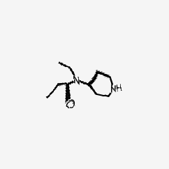 CCC(=O)N(CC)C1CCNCC1